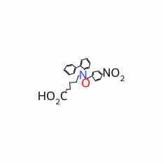 O=C(O)CCCCCN(C(=O)c1ccc([N+](=O)[O-])cc1)c1ccccc1-c1ccccc1